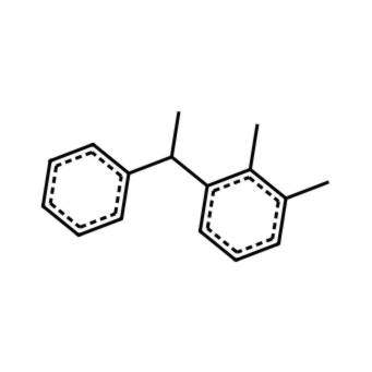 Cc1cccc(C(C)c2ccccc2)c1C